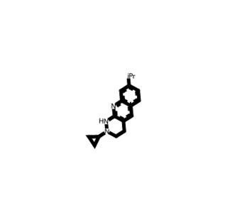 CC(C)c1ccc2cc3c(nc2c1)NN(C1CC1)CC3